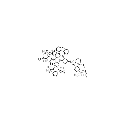 Cc1cc2c3c(c1)N(c1cccc4c1-c1ccccc1C4)c1cc(CCC4c5ccc(C(C)(C)C)cc5C5(C)CCCCC45C)ccc1B3c1cc3c(cc1N2c1cc2c(cc1C)C(C)(C)CCC2(C)C)C(C)(C)c1ccccc1C3(C)C